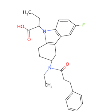 CCC(C(=O)O)n1c2c(c3cc(F)ccc31)CC(N(CC)C(=O)CCc1ccccc1)CC2